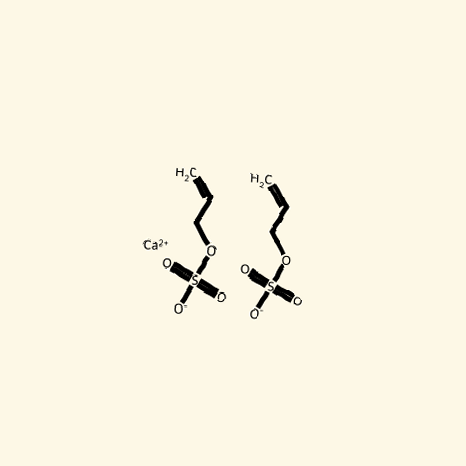 C=CCOS(=O)(=O)[O-].C=CCOS(=O)(=O)[O-].[Ca+2]